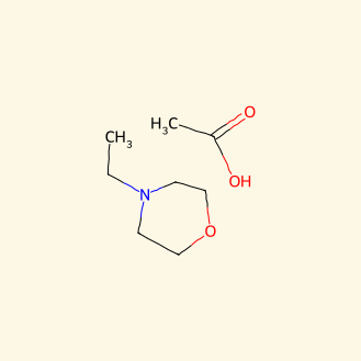 CC(=O)O.CCN1CCOCC1